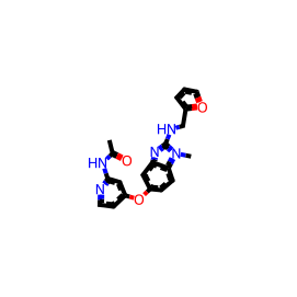 CC(=O)Nc1cc(Oc2ccc3c(c2)nc(NCc2ccco2)n3C)ccn1